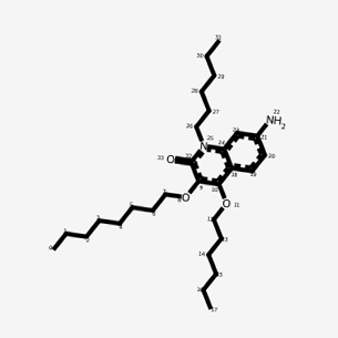 CCCCCCCCOc1c(OCCCCCC)c2ccc(N)cc2n(CCCCCC)c1=O